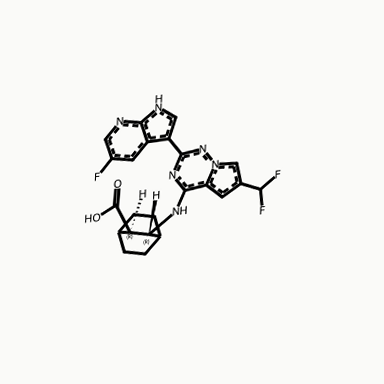 O=C(O)[C@@H]1C2CCC(CC2)[C@H]1Nc1nc(-c2c[nH]c3ncc(F)cc23)nn2cc(C(F)F)cc12